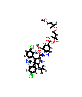 COCCC(C)(C)OCCC(C)(C)OC(=O)c1ccc(NC(=O)[C@@H]2NC(CC(C)(C)C)[C@](C#N)(c3ccc(Cl)cc3F)C2c2cccc(Cl)c2F)c(OC)c1